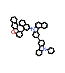 c1ccc(-n2c3ccccc3c3cc(-c4ccc5c(c4)c4c6ccccc6ccc4n5-c4cc(-c5cccc6oc7cc8ccccc8cc7c56)c5ccccc5c4)ccc32)cc1